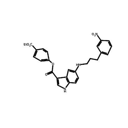 CCOC(=O)c1ccc(OC(=O)c2c[nH]c3ccc(NCCCc4cccc([N+](=O)[O-])c4)cc23)cc1